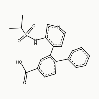 CC(C)S(=O)(=O)Nc1cnccc1-c1cc(C(=O)O)ccc1-c1ccccc1